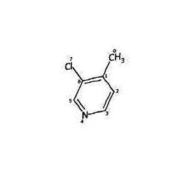 Cc1ccncc1Cl